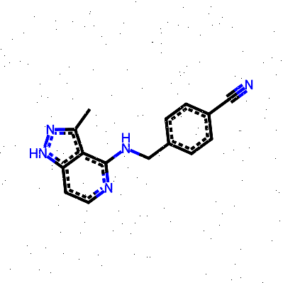 Cc1n[nH]c2ccnc(NCc3ccc(C#N)cc3)c12